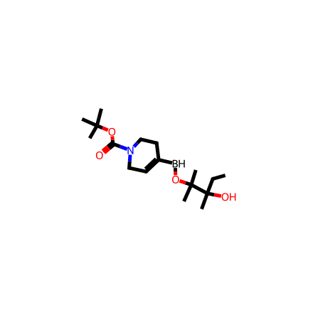 CCC(C)(O)C(C)(C)OBC1=CCN(C(=O)OC(C)(C)C)CC1